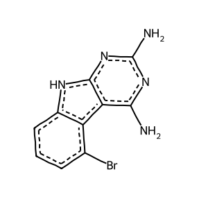 Nc1nc(N)c2c(n1)[nH]c1cccc(Br)c12